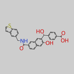 O=C(O)c1ccc(C(O)c2cc3cc(C(=O)NCc4ccc5sccc5c4)ccc3cc2O)cc1